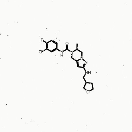 CC1Cn2nc(NCC3CCOC3)cc2CN1C(=O)Nc1ccc(F)c(Cl)c1